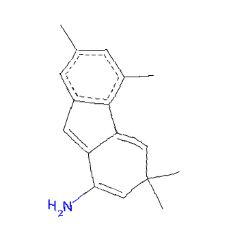 Cc1cc(C)c2c(c1)C=C1C(N)=CC(C)(C)C=C12